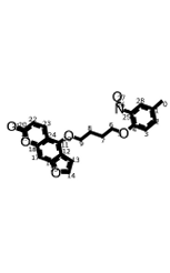 Cc1ccc(OCCCCOc2c3ccoc3cc3oc(=O)ccc23)c(N=O)c1